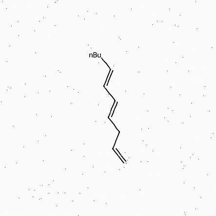 [CH]=CCC=CC=CCCCC